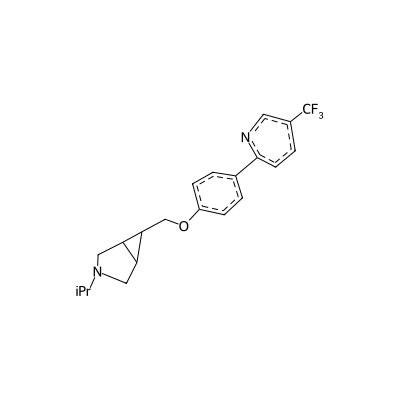 CC(C)N1CC2C(COc3ccc(-c4ccc(C(F)(F)F)cn4)cc3)C2C1